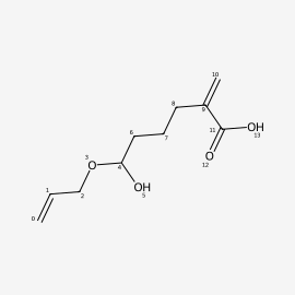 C=CCOC(O)CCCC(=C)C(=O)O